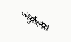 COC(=O)CC(=O)Oc1ccc(NC(=O)NC(=O)c2ccc3c(c2)OCCO3)cc1Cl